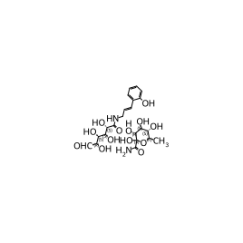 C[C@H]1O[C@](O)(C(N)=O)[C@H](O)[C@@H](O)[C@@H]1O.O=C[C@H](O)[C@@H](O)[C@H](O)[C@H](O)C(=O)NCC=Cc1ccccc1O